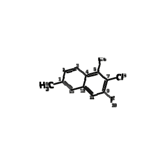 Cc1ccc2c(F)c(Cl)c(F)cc2c1